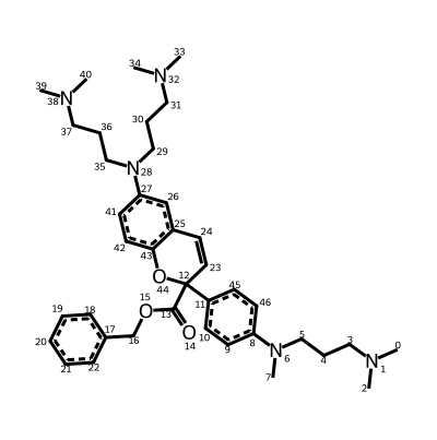 CN(C)CCCN(C)c1ccc(C2(C(=O)OCc3ccccc3)C=Cc3cc(N(CCCN(C)C)CCCN(C)C)ccc3O2)cc1